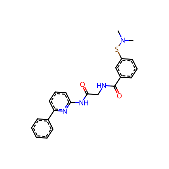 CN(C)Sc1cccc(C(=O)NCC(=O)Nc2cccc(-c3ccccc3)n2)c1